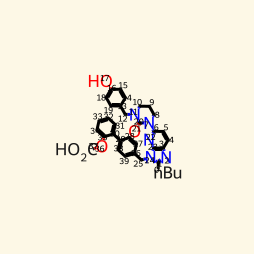 CCCCc1nc2ccc(N3CCCN(Cc4ccc(O)cc4)C3=O)nc2n1Cc1ccc(-c2ccccc2OC(=O)O)cc1